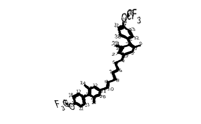 Cc1cc(CCCCCCCc2cc(C)c(-c3ccc(OC(F)(F)F)cc3)c(C)c2)cc(C)c1-c1ccc(OC(F)(F)F)cc1